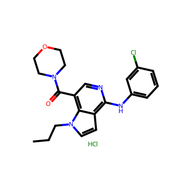 CCCn1ccc2c(Nc3cccc(Cl)c3)ncc(C(=O)N3CCOCC3)c21.Cl